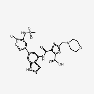 CS(=O)(=O)Nc1cc(-c2cc(NC(=O)c3nc(CN4CCOCC4)sc3C(=O)O)c3cn[nH]c3c2)cnc1Cl